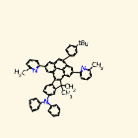 Cc1cccc(-c2cc3cc(-c4ccc(C(C)(C)C)cc4)c4cc(-c5cccc(C)n5)cc5c6c(c(c2)c3c45)-c2ccc(N(c3ccccc3)c3ccccc3)cc2C6(C)C)n1